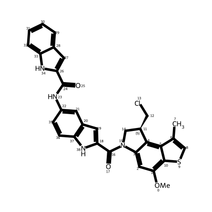 COc1cc2c(c3c(C)csc13)[C@H](CCl)CN2C(=O)c1cc2cc(NC(=O)c3cc4ccccc4[nH]3)ccc2[nH]1